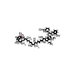 CC[C@H]1C[C@@H]2C[C@H]3[C@@H](O)[C@@H](C)[C@H](C[C@H](O)[C@@H](C)CC/C=C/C(O)C(C)[C@@H](O)C/C=C/C=C/[C@H](O)[C@H](C)[C@@H](O)[C@@H](CCC(C)=O)C(=O)N[C@H](C(=O)N[C@@H](Cc4cccc(O)c4)C(=O)N4CCCC(C=O)N4)C(C)C)O[C@]23NC1=O